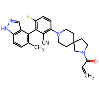 C=CC(=O)N1CCC2(CCN(c3ccc(F)c(-c4c(C)ccc5[nH]ncc45)c3C#N)CC2)C1